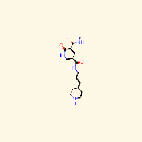 CNC(=O)c1cc(C(=O)NCCCC2CCNCC2)c[nH]c1=O